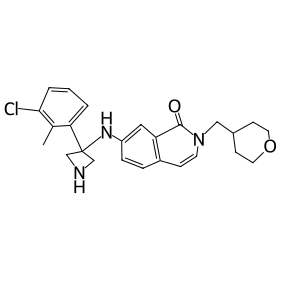 Cc1c(Cl)cccc1C1(Nc2ccc3ccn(CC4CCOCC4)c(=O)c3c2)CNC1